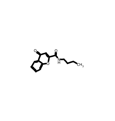 CCCCNC(=O)c1cc(=O)c2ccccc2o1